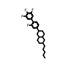 CCCCCC1CCC2CC(c3ccc(-c4cc(F)c(F)c(F)c4)c(F)c3)CCC2C1